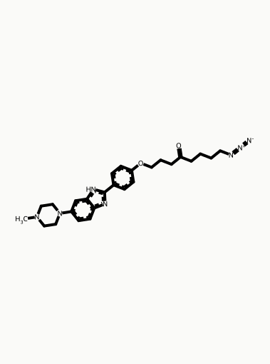 CN1CCN(c2ccc3nc(-c4ccc(OCCCC(=O)CCCCN=[N+]=[N-])cc4)[nH]c3c2)CC1